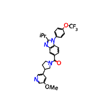 COc1cncc(C2CCN(C(=O)c3ccc4c(c3)nc(C(C)C)n4-c3ccc(OC(F)(F)F)cc3)C2)c1